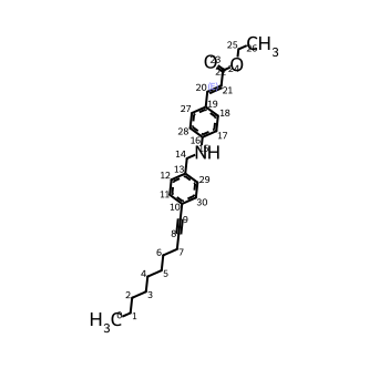 CCCCCCCCC#Cc1ccc(CNc2ccc(/C=C/C(=O)OCC)cc2)cc1